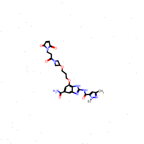 CCn1nc(C)cc1C(=O)Nc1nc2cc(C(N)=O)cc(OCCCOC3CN(C(=O)CCN4C(=O)C=CC4=O)C3)c2[nH]1